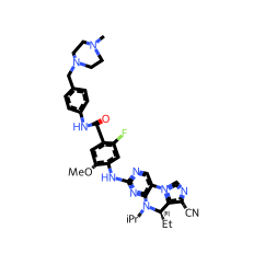 CC[C@@H]1c2c(C#N)ncn2-c2cnc(Nc3cc(F)c(C(=O)Nc4ccc(CN5CCN(C)CC5)cc4)cc3OC)nc2N1C(C)C